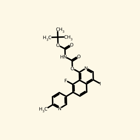 Cc1ccc(-c2ccc3c(I)cnc(OC(=O)NC(=O)OC(C)(C)C)c3c2F)cn1